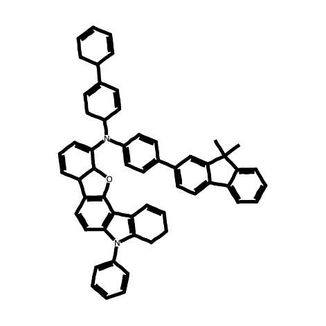 CC1(C)c2ccccc2-c2ccc(-c3ccc(N(C4=CC=CC5c6ccc7c(c8c(n7-c7ccccc7)CCC=C8)c6OC45)C4C=CC(C5C=CC=CC5)=CC4)cc3)cc21